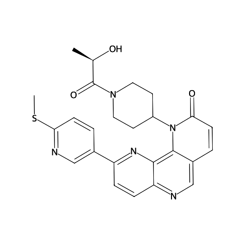 CSc1ccc(-c2ccc3ncc4ccc(=O)n(C5CCN(C(=O)[C@@H](C)O)CC5)c4c3n2)cn1